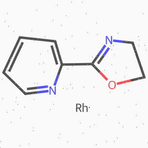 [Rh].c1ccc(C2=NCCO2)nc1